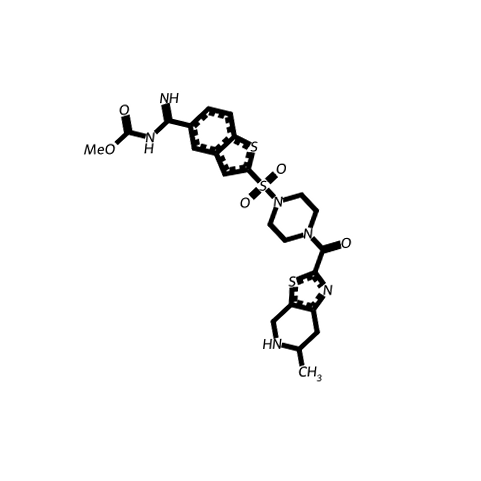 COC(=O)NC(=N)c1ccc2sc(S(=O)(=O)N3CCN(C(=O)c4nc5c(s4)CNC(C)C5)CC3)cc2c1